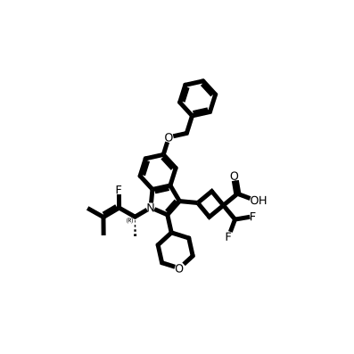 CC(C)=C(F)[C@@H](C)n1c(C2CCOCC2)c(C2CC(C(=O)O)(C(F)F)C2)c2cc(OCc3ccccc3)ccc21